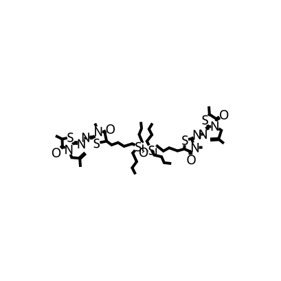 C=C(C)CN1C(=O)C(C)SC1=NN=C1SC(CCCC[Si](CCCC)(CCCC)O[Si](CCCC)(CCCC)CCCCC2SC(=NN=C3SC(C)C(=O)N3CC(=C)C)N(C)C2=O)C(=O)N1C